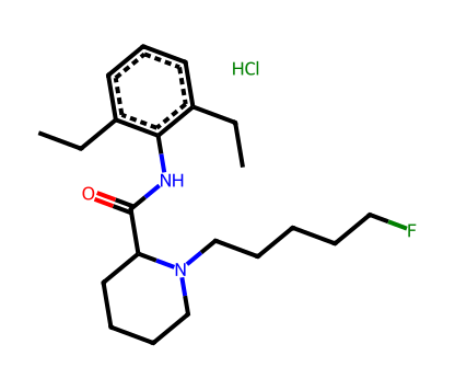 CCc1cccc(CC)c1NC(=O)C1CCCCN1CCCCCF.Cl